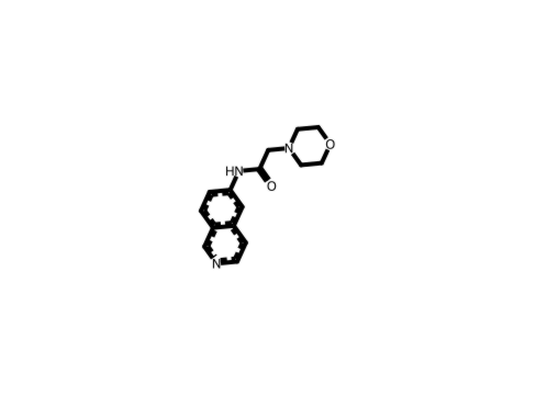 O=C(CN1CCOCC1)Nc1ccc2cnccc2c1